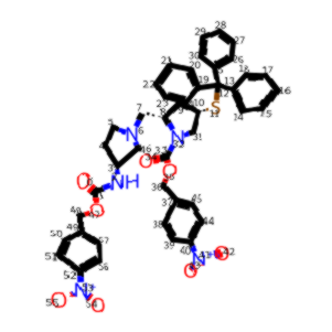 O=C(N[C@H]1CCN(C[C@@H]2C[C@H](SC(c3ccccc3)(c3ccccc3)c3ccccc3)CN2C(=O)OCc2ccc([N+](=O)[O-])cc2)C1)OCc1ccc([N+](=O)[O-])cc1